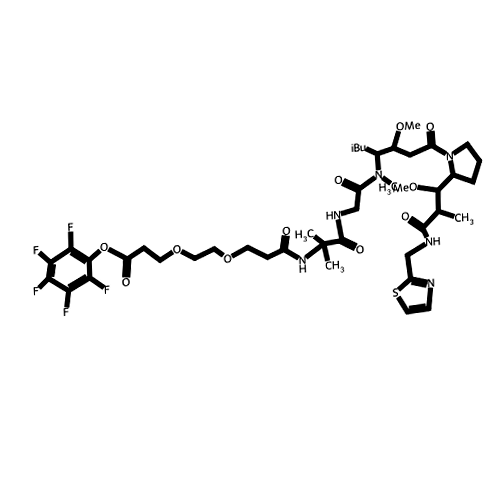 CCC(C)C(C(CC(=O)N1CCCC1C(OC)C(C)C(=O)NCc1nccs1)OC)N(C)C(=O)CNC(=O)C(C)(C)NC(=O)CCOCCOCCC(=O)Oc1c(F)c(F)c(F)c(F)c1F